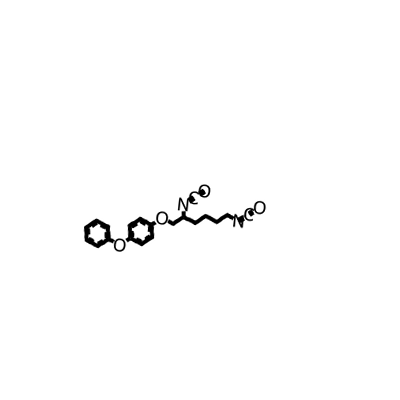 O=C=NCCCCC(COc1ccc(Oc2ccccc2)cc1)N=C=O